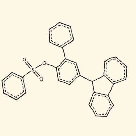 O=S(=O)(Oc1ccc(C2c3ccccc3-c3ccccc32)cc1-c1ccccc1)c1ccccc1